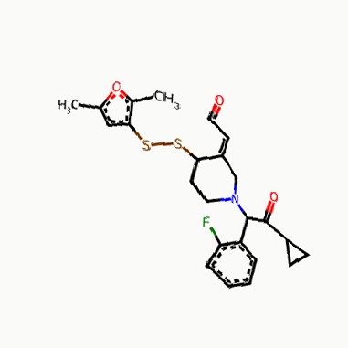 Cc1cc(SSC2CCN(C(C(=O)C3CC3)c3ccccc3F)C/C2=C/C=O)c(C)o1